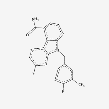 NC(=O)c1cccc2c1c1[c]cc(F)cc1n2Cc1ccc(F)c(C(F)(F)F)c1